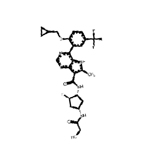 Cc1[nH]c2c(-c3cc(C(F)(F)F)ccc3OCC3CC3)ncnc2c1C(=O)N[C@@H]1C[C@H](NC(=O)CO)C[C@H]1F